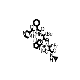 CCC[C@H](NC(=O)[C@@H]1[C@H]2CCC[C@H]2CN1C(=O)C(NC(=O)C(NC(=O)c1cnccn1)C1CCCCC1)C(C)(C)C)[C@@H](O)C(=O)NC1CC1